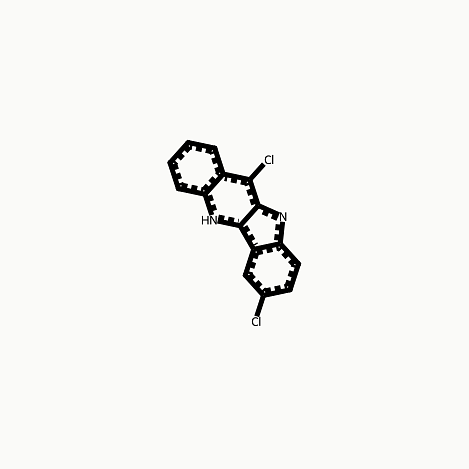 Clc1ccc2nc3c(Cl)c4ccccc4[nH]c-3c2c1